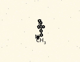 Cc1cncc(-c2cccc(-c3ccc(-c4c5ccccc5c(-c5ccc6ccccc6c5)c5ccccc45)cc3)c2)c1